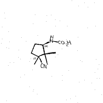 CC1(C)[C@H](NC(=O)O)CC[C@]1(C)C#N